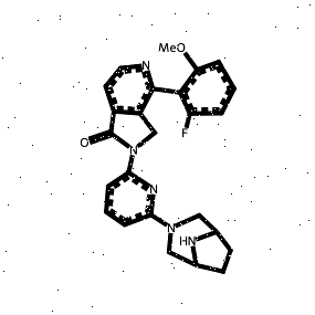 COc1cccc(F)c1-c1nccc2c1CN(c1cccc(N3CC4CCC(C3)N4)n1)C2=O